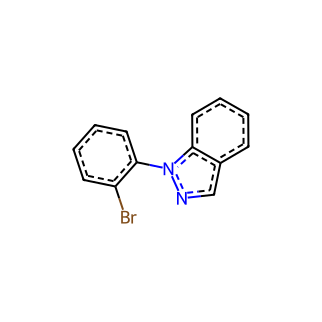 Brc1ccccc1-n1ncc2ccccc21